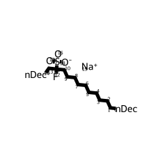 CCCCCCCCCCCCCCCCCCCCC(F)(CCCCCCCCCCC)S(=O)(=O)[O-].[Na+]